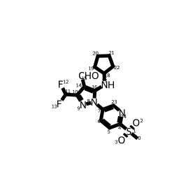 CS(=O)(=O)c1ccc(-n2nc(C(F)F)c(C=O)c2NC2CCCC2)cn1